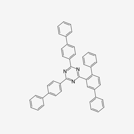 c1ccc(-c2ccc(-c3nc(-c4ccc(-c5ccccc5)cc4)nc(-c4cc(-c5ccccc5)ccc4-c4ccccc4)n3)cc2)cc1